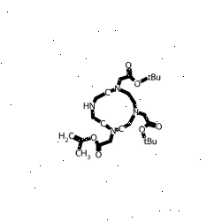 C=C(C)OC(=O)CN1CCNCCN(CC(=O)OC(C)(C)C)CCN(CC(=O)OC(C)(C)C)CC1